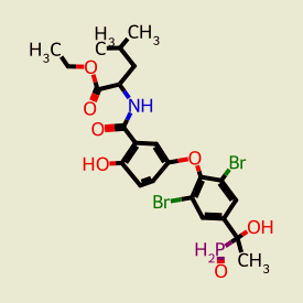 CCOC(=O)C(CC(C)C)NC(=O)c1cc(Oc2c(Br)cc(C(C)(O)[PH2]=O)cc2Br)ccc1O